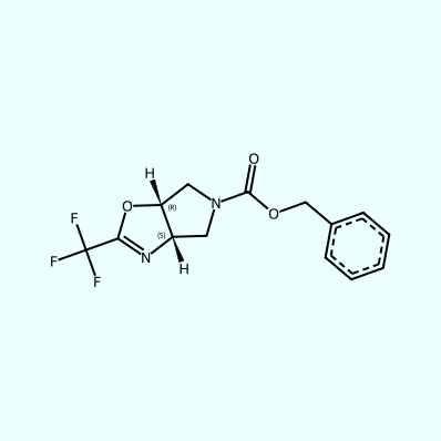 O=C(OCc1ccccc1)N1C[C@@H]2N=C(C(F)(F)F)O[C@@H]2C1